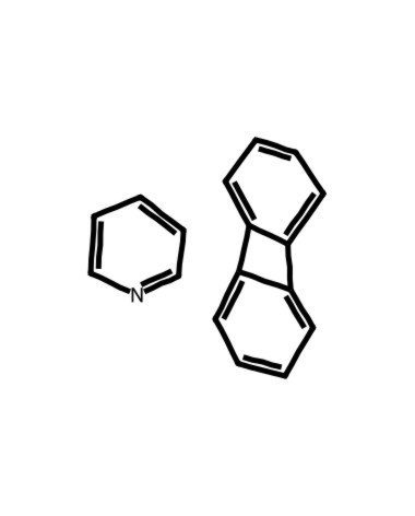 c1ccc2c(c1)-c1ccccc1-2.c1ccncc1